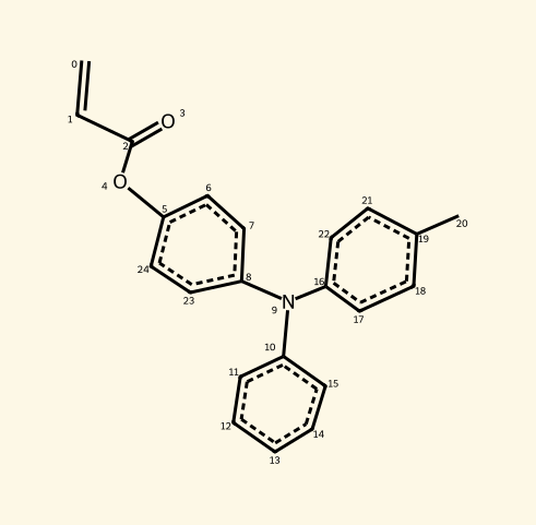 C=CC(=O)Oc1ccc(N(c2ccccc2)c2ccc(C)cc2)cc1